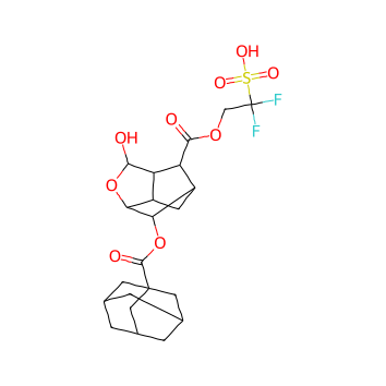 O=C(OCC(F)(F)S(=O)(=O)O)C1C2CC3C(OC(O)C31)C2OC(=O)C12CC3CC(CC(C3)C1)C2